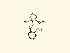 CC(=O)SN1CCSC1(COc1ccccc1O)C(C)=O